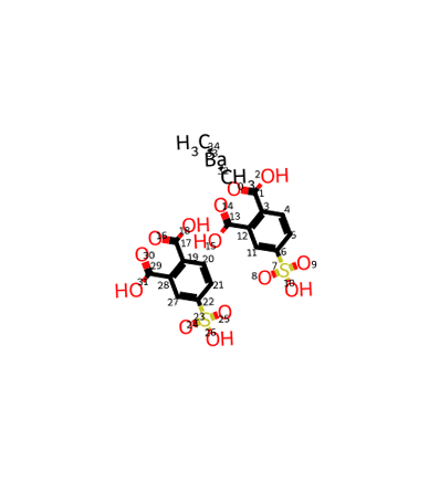 O=C(O)c1ccc(S(=O)(=O)O)cc1C(=O)O.O=C(O)c1ccc(S(=O)(=O)O)cc1C(=O)O.[CH3][Ba][CH3]